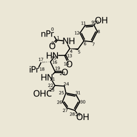 CCCC(=O)N[C@@H](Cc1ccc(O)cc1)C(=O)N[C@@H](CC(C)C)C(=O)NC(C=O)Cc1ccc(O)cc1